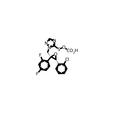 O=C(O)OSc1ncnn1C[C@]1(c2ccc(F)cc2F)O[C@@H]1c1ccccc1Cl